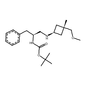 COC[C@]1(C)C[C@@H](NC[C@H](Cc2ccccc2)NC(=O)OC(C)(C)C)C1